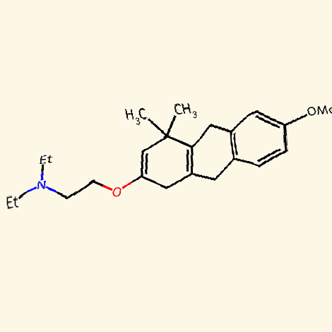 CCN(CC)CCOC1=CC(C)(C)C2=C(C1)Cc1ccc(OC)cc1C2